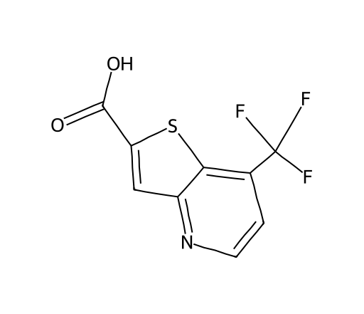 O=C(O)c1cc2nccc(C(F)(F)F)c2s1